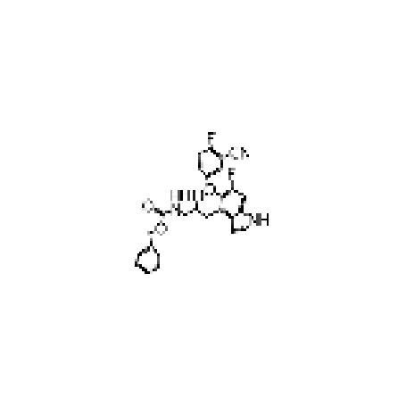 N#Cc1cc(Oc2c(F)cc3[nH]ccc3c2CC(O)CNC(=O)OCc2ccccc2)ccc1F